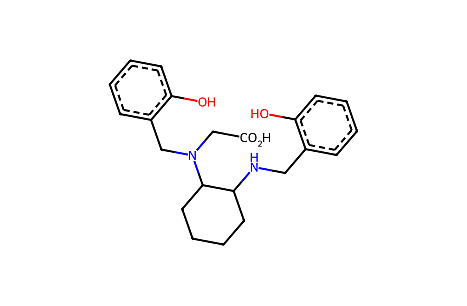 O=C(O)CN(Cc1ccccc1O)C1CCCCC1NCc1ccccc1O